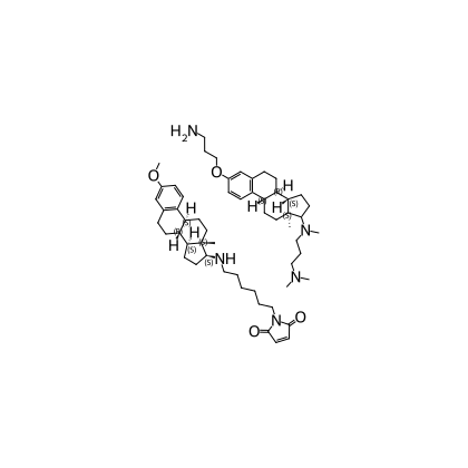 CN(C)CCCN(C)C1CC[C@H]2[C@@H]3CCc4cc(OCCCN)ccc4[C@H]3CC[C@]12C.COc1ccc2c(c1)CC[C@@H]1[C@@H]2CC[C@]2(C)[C@@H](NCCCCCCN3C(=O)C=CC3=O)CC[C@@H]12